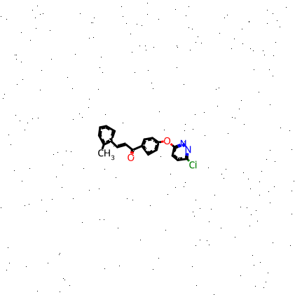 Cc1ccccc1C=CC(=O)c1ccc(Oc2ccc(Cl)nn2)cc1